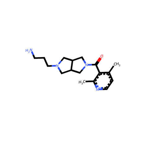 Cc1ccnc(C)c1C(=O)N1CC2CN(CCCN)CC2C1